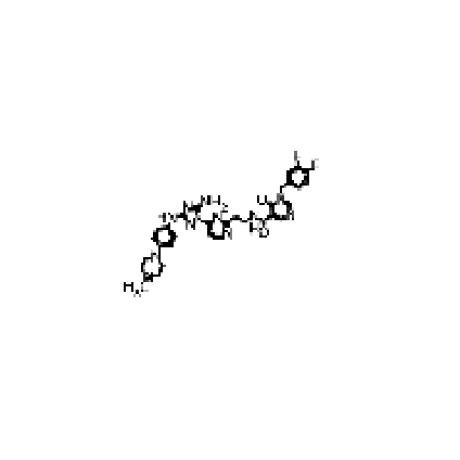 CN1CCN(c2ccc(Nc3nc(N)n(-c4ccnc(CCNC(=O)c5cncn(Cc6ccc(F)c(F)c6)c5=O)n4)n3)cc2)CC1